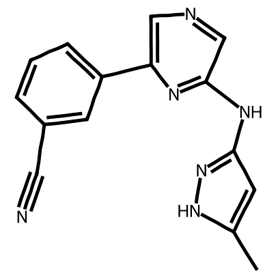 Cc1cc(Nc2cncc(-c3cccc(C#N)c3)n2)n[nH]1